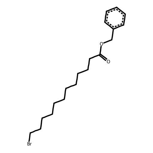 O=C(CCCCCCCCCCCBr)OCc1ccccc1